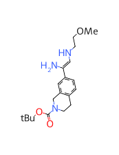 COCCN/C=C(\N)c1ccc2c(c1)CN(C(=O)OC(C)(C)C)CC2